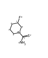 NC(=S)N1CCCC(F)C1